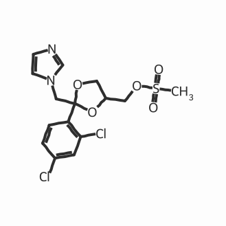 CS(=O)(=O)OCC1COC(Cn2ccnc2)(c2ccc(Cl)cc2Cl)O1